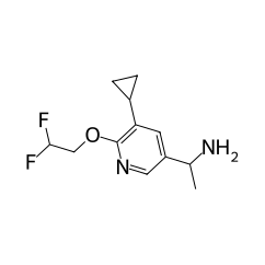 CC(N)c1cnc(OCC(F)F)c(C2CC2)c1